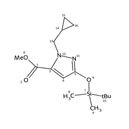 COC(=O)c1cc(O[Si](C)(C)C(C)(C)C)nn1CC1CC1